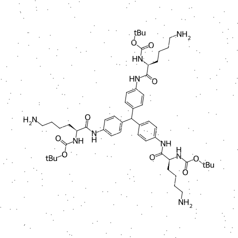 CC(C)(C)OC(=O)N[C@@H](CCCCN)C(=O)Nc1ccc(C(c2ccc(NC(=O)[C@H](CCCCN)NC(=O)OC(C)(C)C)cc2)c2ccc(NC(=O)[C@H](CCCCN)NC(=O)OC(C)(C)C)cc2)cc1